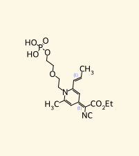 [C-]#[N+]/C(C(=O)OCC)=C1\C=C(C)N(CCOCCOP(=O)(O)O)C(/C=C/C)=C1